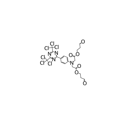 O=CCCOC(=O)CN(CC(=O)OCCC=O)c1ccc(-c2nc(C(Cl)(Cl)Cl)nc(C(Cl)(Cl)Cl)n2)cc1